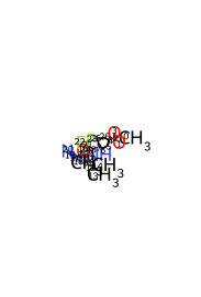 COC(=O)c1ccc(C(NC(CC(C)C)C(=O)N(C)C#N)C(F)(F)F)cc1